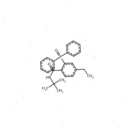 CCc1ccc(C(=O)NC(C)(C)C)c(P(=O)(c2ccccc2)c2ccccc2)c1